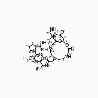 CC(C)[C@H](NC(=O)CN1CCNCC(=O)OC2CC(=O)CN(CN)CCN(CC1)CC(=O)O2)C(=O)N[C@H](C)C(=O)N1CCC[C@H]1B(O)O